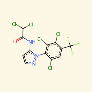 O=C(Nc1ccnn1-c1c(Cl)cc(C(F)(F)F)c(Cl)c1Cl)C(Cl)Cl